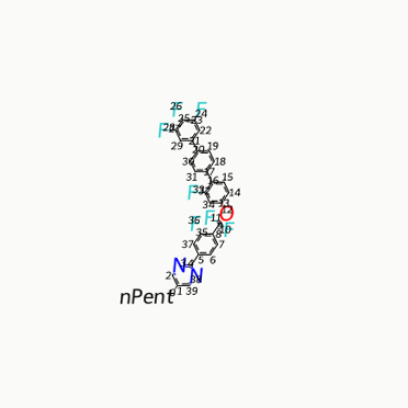 CCCCCc1cnc(-c2ccc(C(F)(F)Oc3ccc(-c4ccc(-c5cc(F)c(F)c(F)c5)cc4)c(F)c3)c(F)c2)nc1